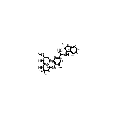 COCCC(c1cc(F)cc(C(=O)N[C@@H]2c3ccccc3C[C@]2(C)O)c1)N1C(=N)NC(C)(C)CC1=O